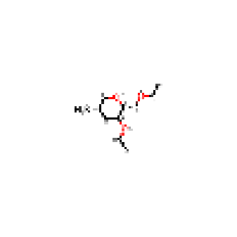 B[C@@H]1CO[C@H](COCC)C(OCC)C1